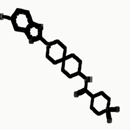 O=C(NC1CCC2(CC1)CCN(c1nc3ccc(Cl)cc3o1)CC2)C1CCS(=O)(=O)CC1